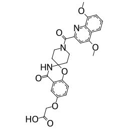 COc1cc(C(=O)N2CCC3(CC2)NC(=O)c2cc(OCC(=O)O)ccc2O3)nc2c(OC)cccc12